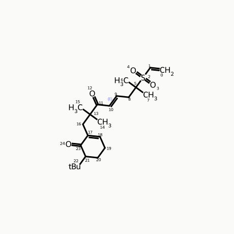 C=CS(=O)(=O)C(C)(C)C/C=C/C(=O)C(C)(C)CC1=CCCC(C(C)(C)C)C1=O